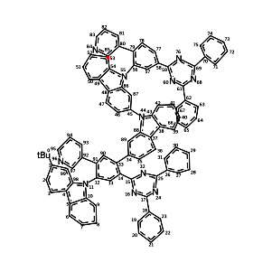 CC(C)(C)c1ccc2c3ccccc3n(-c3cc(-c4nc(-c5ccccc5)nc(-c5ccccc5)n4)c(-c4ccc5c6ccccc6n(-c6ccc7c8ccccc8n(-c8cc(-c9nc(-c%10ccccc%10)nc(-c%10ccccc%10)n9)ccc8-c8cccnc8)c7c6)c5c4)cc3-c3cccnc3)c2c1